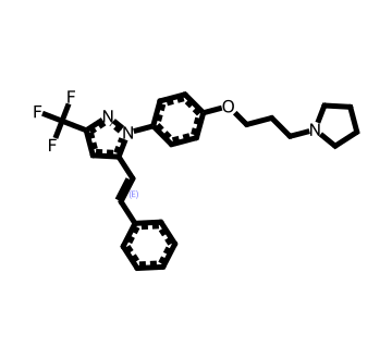 FC(F)(F)c1cc(/C=C/c2ccccc2)n(-c2ccc(OCCCN3CCCC3)cc2)n1